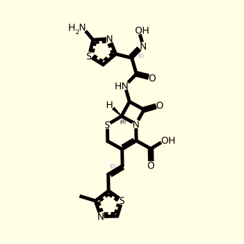 Cc1ncsc1/C=C/C1=C(C(=O)O)N2C(=O)C(NC(=O)/C(=N/O)c3csc(N)n3)[C@H]2SC1